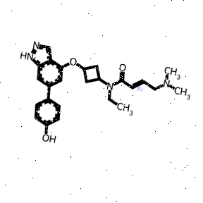 CCN(C(=O)/C=C/CN(C)C)C1CC(Oc2cc(-c3ccc(O)cc3)cc3[nH]ncc23)C1